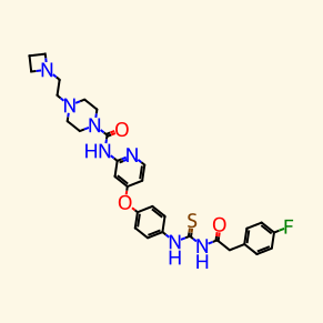 O=C(Cc1ccc(F)cc1)NC(=S)Nc1ccc(Oc2ccnc(NC(=O)N3CCN(CCN4CCC4)CC3)c2)cc1